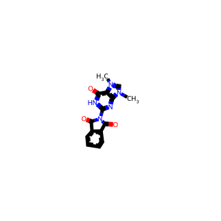 Cn1c[n+](C)c2c(=O)[nH]c(N3C(=O)c4ccccc4C3=O)nc21